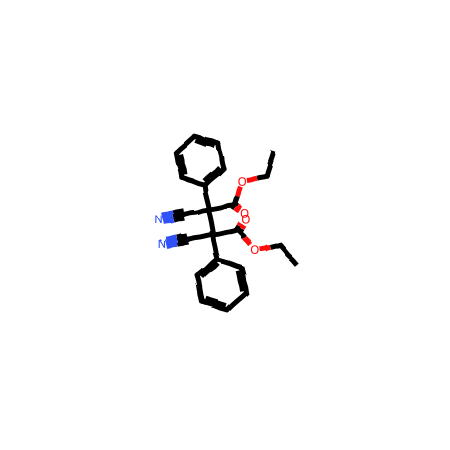 CCOC(=O)C(C#N)(c1ccccc1)C(C#N)(C(=O)OCC)c1ccccc1